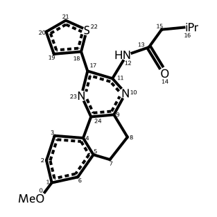 COc1ccc2c(c1)CCc1nc(NC(=O)CC(C)C)c(-c3cccs3)nc1-2